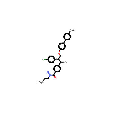 CCCC(c1ccc(C(=O)N(N)CCC(=O)O)cc1)C(COc1ccc(-c2ccc(OC)cc2)cc1)c1ccc(Cl)cc1